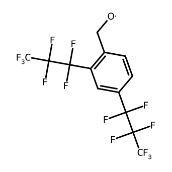 [O]Cc1ccc(C(F)(F)C(F)(F)C(F)(F)F)cc1C(F)(F)C(F)(F)C(F)(F)F